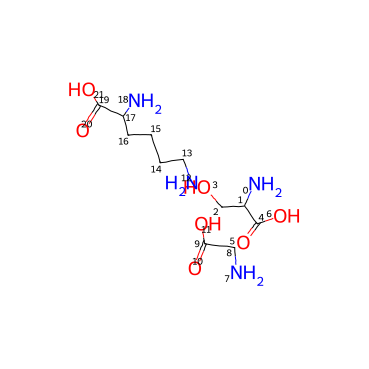 NC(CO)C(=O)O.NCC(=O)O.NCCCCC(N)C(=O)O